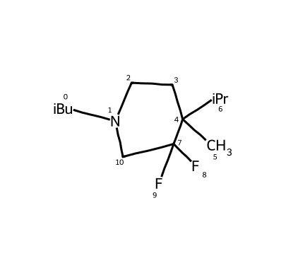 CCC(C)N1CCC(C)(C(C)C)C(F)(F)C1